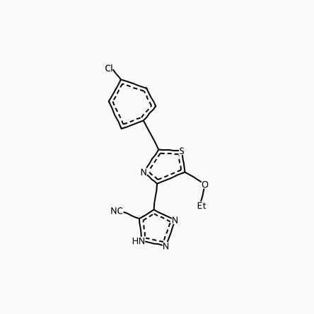 CCOc1sc(-c2ccc(Cl)cc2)nc1-c1nn[nH]c1C#N